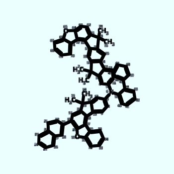 CC1(C)c2cc(N(c3ccc4c(c3)C(C)(C)c3cc(-c5ccc6ccccc6c5)c5oc6ccccc6c5c3-4)c3ccccc3-c3ccccc3)ccc2-c2cc3c(cc21)-c1c(ccc2oc4ccccc4c12)C3(C)C